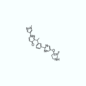 CC(c1cccc(-c2ncc(O[C@@H]3CCNC[C@H]3F)cn2)c1)c1nn(-c2cnn(C)c2)ccc1=O